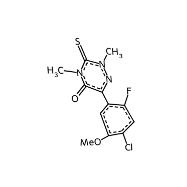 COc1cc(-c2nn(C)c(=S)n(C)c2=O)c(F)cc1Cl